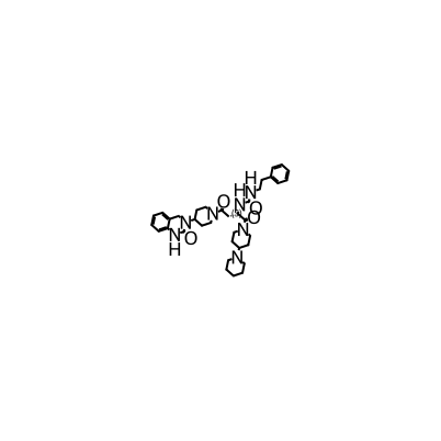 O=C(NCCc1ccccc1)N[C@@H](CC(=O)N1CCC(N2Cc3ccccc3NC2=O)CC1)C(=O)N1CCC(N2CCCCC2)CC1